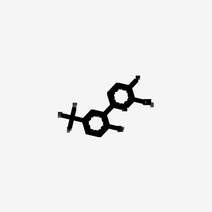 Cc1nc(-c2cc(C(F)(F)F)ccc2Br)ccc1F